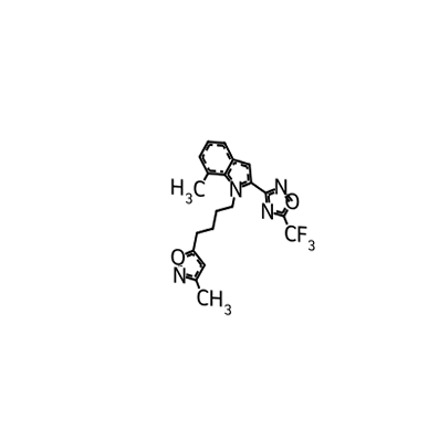 Cc1cc(CCCCn2c(-c3noc(C(F)(F)F)n3)cc3cccc(C)c32)on1